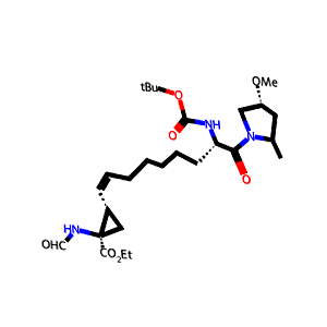 CCOC(=O)[C@@]1(NC=O)C[C@H]1/C=C\CCCCC[C@H](NC(=O)OC(C)(C)C)C(=O)N1C[C@H](OC)CC1C